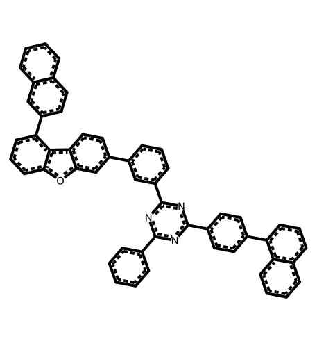 c1ccc(-c2nc(-c3ccc(-c4cccc5ccccc45)cc3)nc(-c3cccc(-c4ccc5c(c4)oc4cccc(-c6ccc7ccccc7c6)c45)c3)n2)cc1